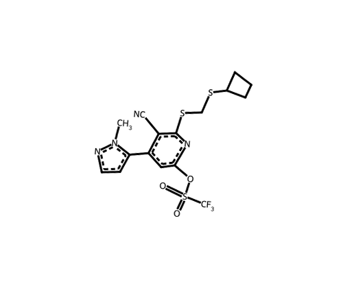 Cn1nccc1-c1cc(OS(=O)(=O)C(F)(F)F)nc(SCSC2CCC2)c1C#N